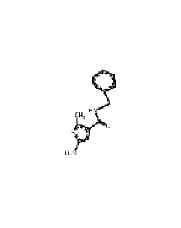 Cc1sc(N)cc1C(=O)NCc1ccccc1